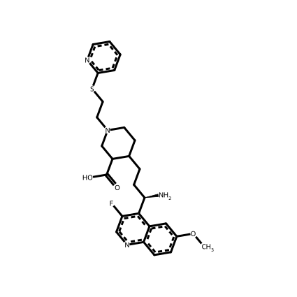 COc1ccc2ncc(F)c([C@H](N)CCC3CCN(CCSc4ccccn4)CC3C(=O)O)c2c1